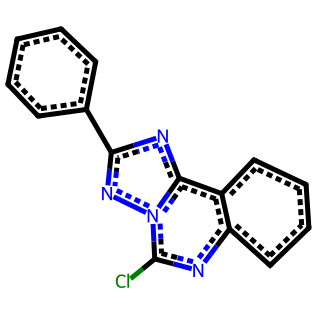 Clc1nc2ccccc2c2nc(-c3ccccc3)nn12